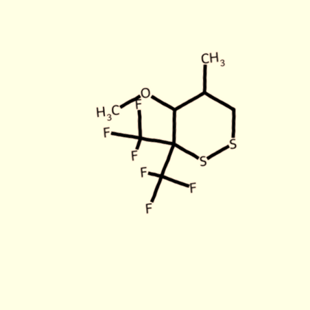 COC1C(C)CSSC1(C(F)(F)F)C(F)(F)F